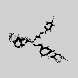 CCC(Oc1cccc(CCN(CCCOc2ccc(F)cc2)c2nc3cc(OC)ccc3o2)c1)C(=O)O